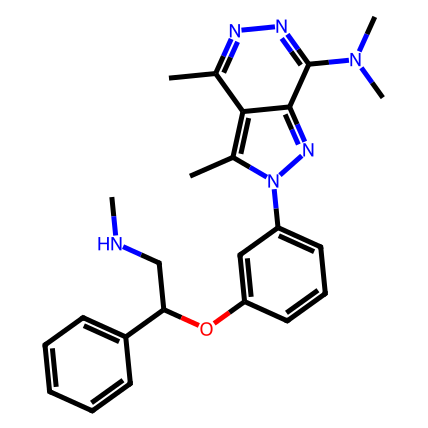 CNCC(Oc1cccc(-n2nc3c(N(C)C)nnc(C)c3c2C)c1)c1ccccc1